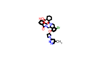 Cc1cnnc(N2CC[C@H](Oc3ccc(Br)c4c3[C@@H](CN3Cc5ccccc5C3=O)N(C(=O)C3CCCC[C@H]3C(=O)O)CC4)C2)c1